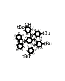 CC(C)(C)c1ccc(N2C3=CC(n4c5ccccc5c5ccccc54)CC4=C3B(C3=C2C=CC(C(C)(C)C)C3)c2cc(C(C)(C)C)ccc2N4C2=CCC(C)(C(C)(C)C)C=C2)cc1